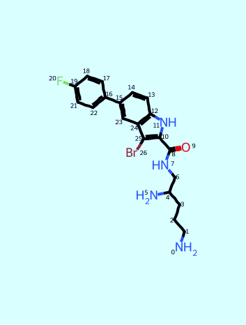 NCCCC(N)CNC(=O)c1[nH]c2ccc(-c3ccc(F)cc3)cc2c1Br